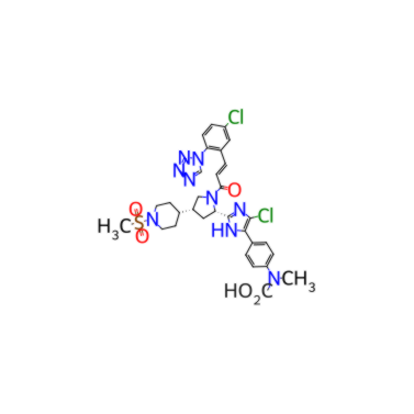 CN(C(=O)O)c1ccc(-c2[nH]c([C@@H]3C[C@H](C4CCN(S(C)(=O)=O)CC4)CN3C(=O)/C=C/c3cc(Cl)ccc3-n3cnnn3)nc2Cl)cc1